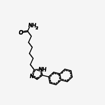 NC(=O)CCCCCCc1ncc(-c2ccc3ccccc3c2)[nH]1